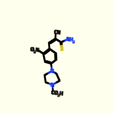 N#CC(=Cc1ccc(N2CCN(C(=O)O)CC2)cc1[N+](=O)[O-])C(N)=S